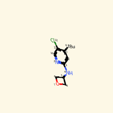 CC(C)(C)c1cc(NC2COC2)ncc1Cl